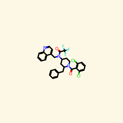 O=C(c1c(Cl)cccc1Cl)N1CCC(N(Cc2ccnc3ccccc23)C(=O)C(F)(F)F)CC1Cc1ccccc1